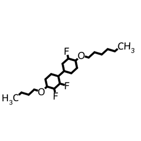 CCCCCCOC1CCC(C2CCC(OCCCC)C(F)C2F)CC1F